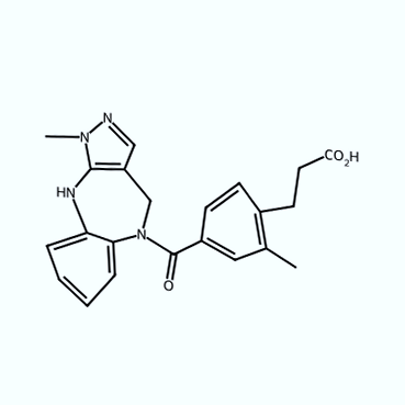 Cc1cc(C(=O)N2Cc3cnn(C)c3Nc3ccccc32)ccc1CCC(=O)O